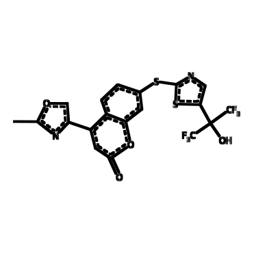 Cc1nc(-c2cc(=O)oc3cc(Sc4ncc(C(O)(C(F)(F)F)C(F)(F)F)s4)ccc23)co1